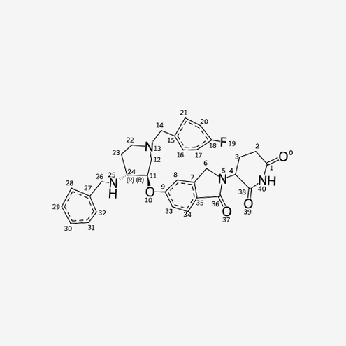 O=C1CCC(N2Cc3cc(O[C@@H]4CN(Cc5ccc(F)cc5)CC[C@H]4NCc4ccccc4)ccc3C2=O)C(=O)N1